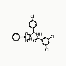 O=C(NC(c1ccc(Cl)cc1)c1nnc(-c2ccccc2)o1)c1cc(Cl)cc(Cl)c1